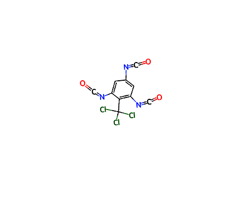 O=C=Nc1cc(N=C=O)c(C(Cl)(Cl)Cl)c(N=C=O)c1